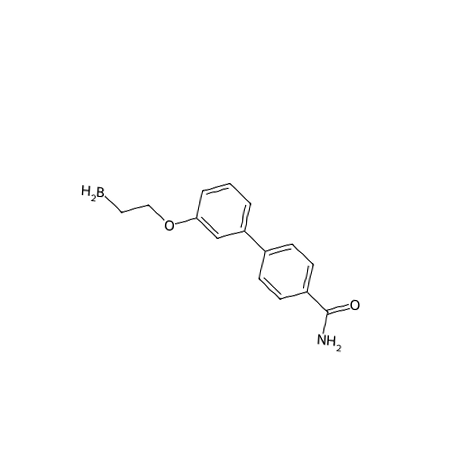 BCCOc1cccc(-c2ccc(C(N)=O)cc2)c1